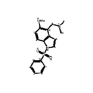 COc1ccc2c(ccn2S(=O)(=O)c2ccccc2)c1CN(C)C